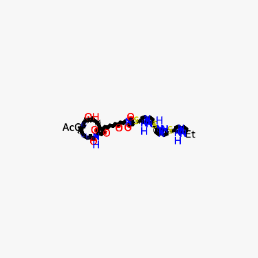 CCC1CCN2CC[C@H](CSC3CCN4CC[C@H](CSC5CCN6CC[C@H](CSC7CC(=O)N(CCCC(=O)CCCCCC8=C9C[C@@H](C)C[C@H](C)[C@H](O)[C@@H](C)/C=C(\C)[C@H](OC(C)=O)[C@@H](C)/C=C\C=C(/C)C(=O)NC(=CC8=O)C9=O)C7=O)NC6=N5)NC4=N3)NC2=N1